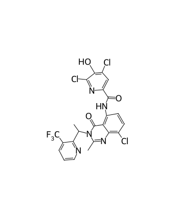 Cc1nc2c(Cl)ccc(NC(=O)c3cc(Cl)c(O)c(Cl)n3)c2c(=O)n1C(C)c1ncccc1C(F)(F)F